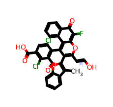 Cc1c(-c2c(/C=C/O)oc3c(F)c(=O)c4ccccc4c-3c2-c2c(Cl)cc(C(=O)O)c(Cl)c2C=O)oc2ccccc12